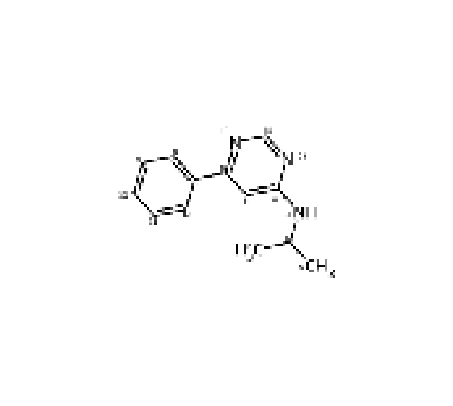 CC(C)Nc1cc(-c2ccccc2)ncn1